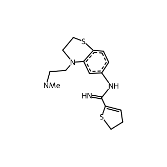 CNCCN1CCSc2ccc(NC(=N)C3=CCCS3)cc21